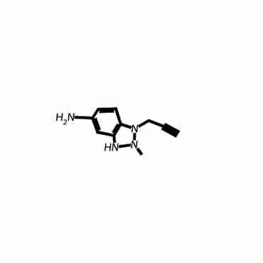 C#CCN1c2ccc(N)cc2NN1C